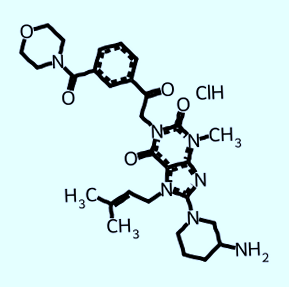 CC(C)=CCn1c(N2CCCC(N)C2)nc2c1c(=O)n(CC(=O)c1cccc(C(=O)N3CCOCC3)c1)c(=O)n2C.Cl